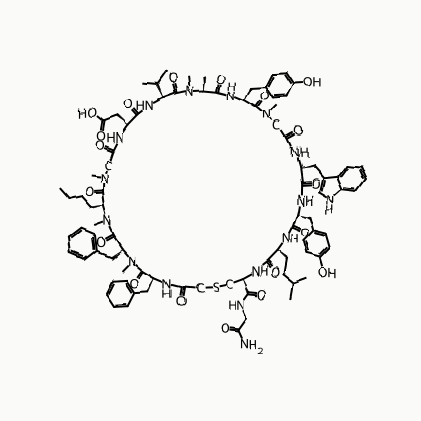 CCCC[C@H]1C(=O)N(C)CC(=O)N[C@@H](CC(=O)O)C(=O)N[C@@H](C(C)C)C(=O)N(C)[C@@H](C)C(=O)N[C@@H](Cc2ccc(O)cc2)C(=O)N(C)CC(=O)N[C@@H](Cc2c[nH]c3ccccc23)C(=O)N[C@@H](Cc2ccc(O)cc2)C(=O)N[C@@H](CCC(C)C)C(=O)N[C@@H](C(=O)NCC(N)=O)CSCC(=O)N[C@@H](Cc2ccccc2)C(=O)N(C)[C@@H](Cc2ccccc2)C(=O)N1C